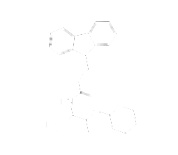 CC(OC1CCCCO1)C(NC(=O)OCC1c2ccccc2-c2ccccc21)C(=O)O